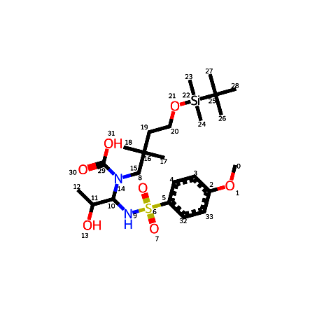 COc1ccc(S(=O)(=O)NC(C(C)O)N(CC(C)(C)CCO[Si](C)(C)C(C)(C)C)C(=O)O)cc1